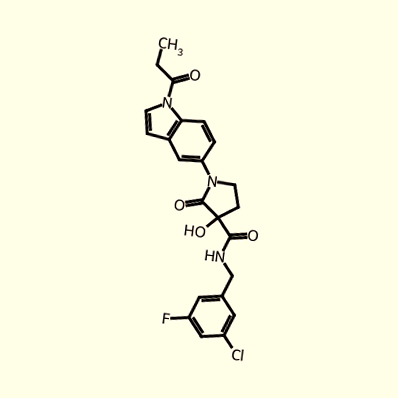 CCC(=O)n1ccc2cc(N3CCC(O)(C(=O)NCc4cc(F)cc(Cl)c4)C3=O)ccc21